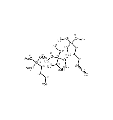 CCO[Si](CCCN=C=O)(OCC)OCC.CCO[Si](OCC)(OCC)C(S)CC.CO[Si](CCCS)(OC)OC